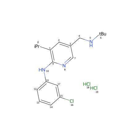 CC(C)c1cc(CNC(C)(C)C)cnc1Nc1cccc(Cl)c1.Cl.Cl